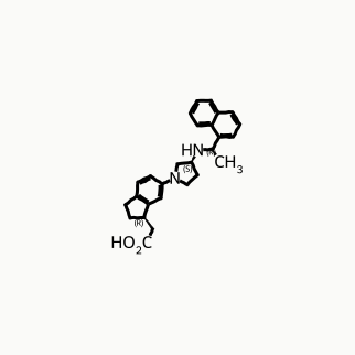 C[C@@H](N[C@H]1CCN(c2ccc3c(c2)[C@@H](CC(=O)O)CC3)C1)c1cccc2ccccc12